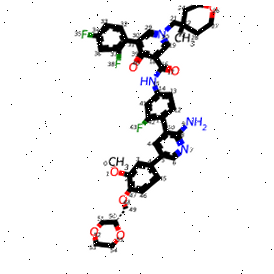 COc1cc(-c2cnc(N)c(-c3ccc(NC(=O)c4cn(CC5(C)CCOCC5)cc(-c5ccc(F)cc5F)c4=O)cc3F)c2)ccc1OC[C@H]1COCCO1